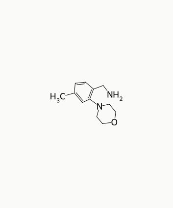 Cc1ccc(CN)c(N2CCOCC2)c1